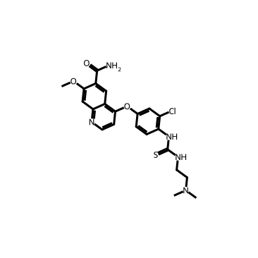 COc1cc2nccc(Oc3ccc(NC(=S)NCCN(C)C)c(Cl)c3)c2cc1C(N)=O